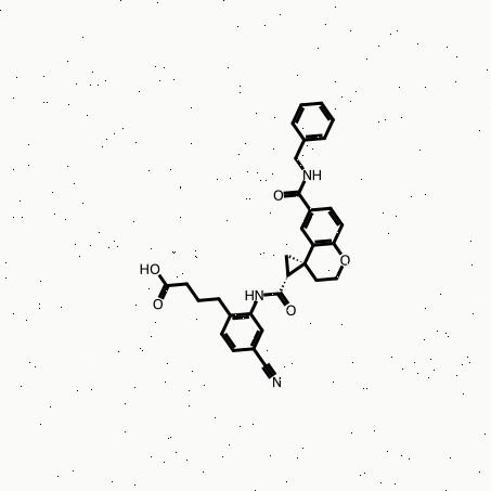 N#Cc1ccc(CCCC(=O)O)c(NC(=O)[C@@H]2C[C@]23CCOc2ccc(C(=O)NCc4ccccc4)cc23)c1